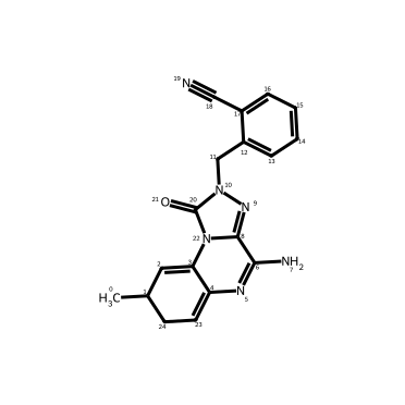 CC1C=c2c(nc(N)c3nn(Cc4ccccc4C#N)c(=O)n23)=CC1